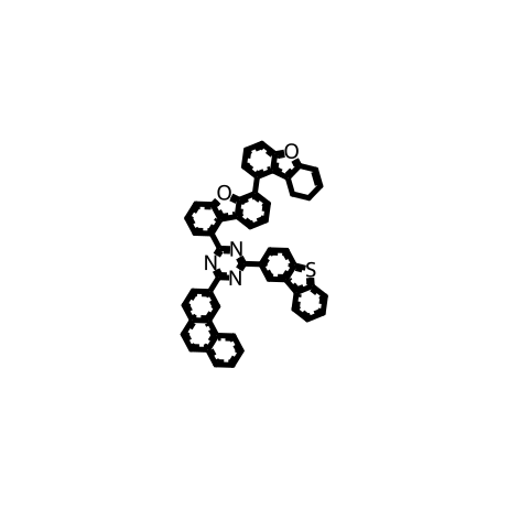 C1=Cc2oc3cccc(-c4cccc5c4oc4cccc(-c6nc(-c7ccc8ccc9ccccc9c8c7)nc(-c7ccc8sc9ccccc9c8c7)n6)c45)c3c2CC1